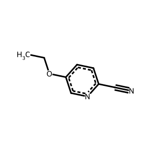 CCOc1ccc(C#N)nc1